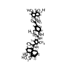 Cc1cc(C(=O)Nc2ccc(O)c3c(S(=O)(=O)O)cccc23)ccc1NC(=O)Nc1ccc(C(=O)Nc2ccc(O)c3c(S(=O)(=O)O)cccc23)cc1C